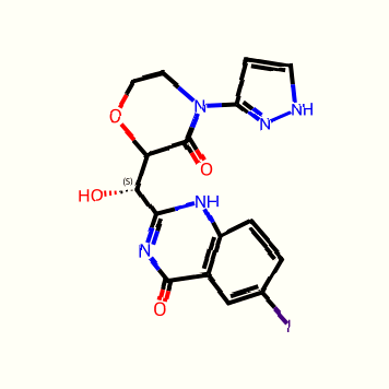 O=C1C([C@@H](O)c2nc(=O)c3cc(I)ccc3[nH]2)OCCN1c1cc[nH]n1